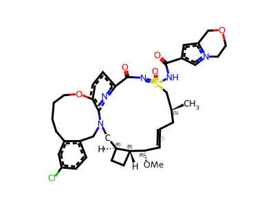 CO[C@H]1/C=C/C[C@H](C)CS(=O)(NC(=O)c2cc3n(c2)CCOC3)=NC(=O)c2ccc3c(n2)N(Cc2ccc(Cl)cc2CCCCO3)C[C@@H]2CC[C@H]21